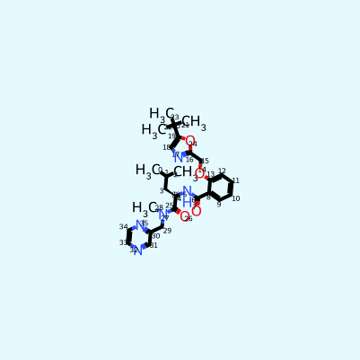 CC(C)C[C@@H](NC(=O)c1ccccc1OCc1ncc(C(C)(C)C)o1)C(=O)N(C)Cc1cnccn1